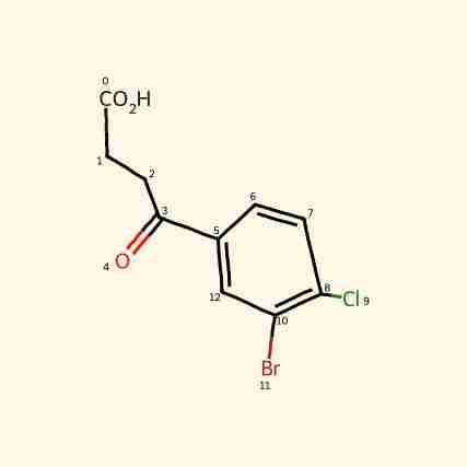 O=C(O)CCC(=O)c1ccc(Cl)c(Br)c1